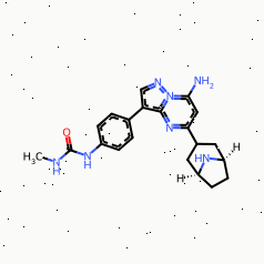 CNC(=O)Nc1ccc(-c2cnn3c(N)cc(C4C[C@H]5CC[C@@H](C4)N5)nc23)cc1